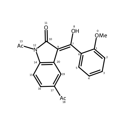 COc1ccccc1/C(O)=C1/C(=O)N(C(C)=O)c2ccc(C(C)=O)cc21